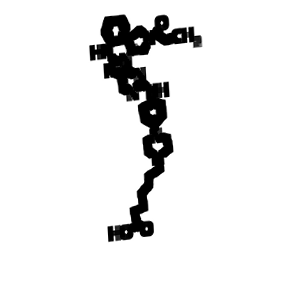 C=CC(=O)N1CC[C@H](n2c(Nc3ccccc3)nc3cnc(Nc4ccc(N5CCN(CCCCCCC(=O)O)CC5)cc4)nc32)C1